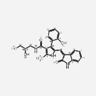 Cc1[nH]c(C=C2C(=O)Nc3ccccc32)c(-c2ccccc2O)c1C(=O)NC[C@@H](O)CO